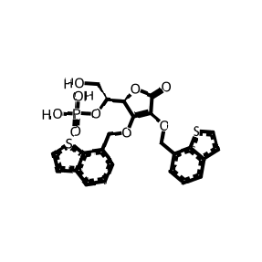 O=C1O[C@H]([C@H](CO)OP(=O)(O)O)C(OCc2cccc3ccsc23)=C1OCc1cccc2ccsc12